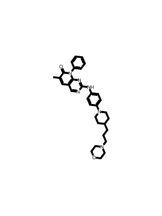 Cc1cc2cnc(Nc3ccc(N4CCC(CCCN5CCOCC5)CC4)cc3)nc2n(-c2ccccc2)c1=O